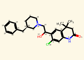 CC1(C)CC(=O)Nc2cc(Cl)c(C(O)CN3CCC[C@H](Cc4ccccc4)C3)cc21